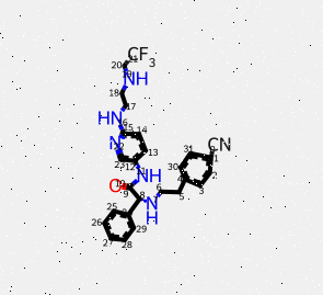 N#Cc1ccc(CCN[C@H](C(=O)Nc2ccc(NCCNCC(F)(F)F)nc2)c2ccccc2)cc1